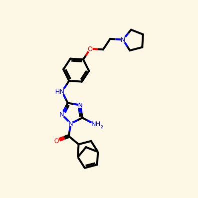 Nc1nc(Nc2ccc(OCCN3CCCC3)cc2)nn1C(=O)C1CC2C=CC1C2